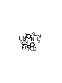 CCc1cnc(Nc2cc(N)c(N(C)CCN(C)C)cc2C)nc1-c1cn2c3c(cccc13)OCC2